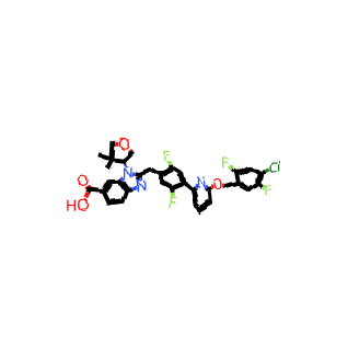 CC1(C)COC[C@H]1n1c(Cc2cc(F)c(-c3cccc(OCc4cc(F)c(Cl)cc4F)n3)cc2F)nc2ccc(C(=O)O)cc21